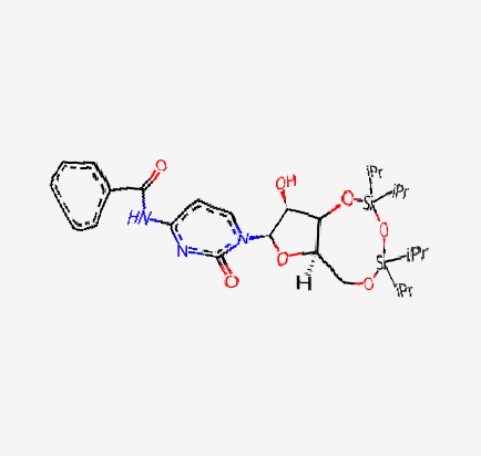 CC(C)[Si]1(C(C)C)OC[C@H]2O[C@@H](n3ccc(NC(=O)c4ccccc4)nc3=O)[C@@H](O)C2O[Si](C(C)C)(C(C)C)O1